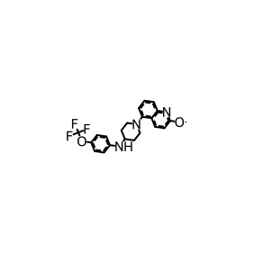 [O]c1ccc2c(N3CCC(Nc4ccc(OC(F)(F)F)cc4)CC3)cccc2n1